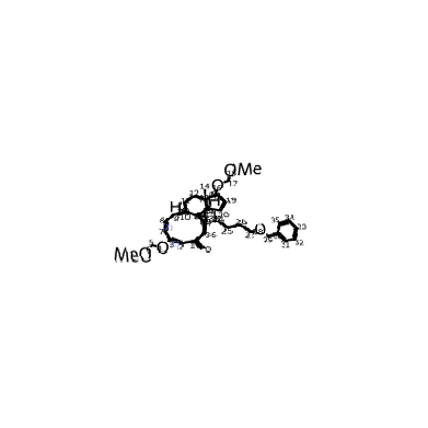 C=C1/C=C(OCOC)\C=C/C[C@H]2CC[C@]3(C)[C@@H](OCOC)CC[C@H]3[C@@H]2[C@H](CCCCOCc2ccccc2)C1